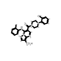 Cc1ccccc1Nc1c(C(=O)N2CCN(c3ccccc3Cl)CC2)cnc2c(C(=O)O)cnn12